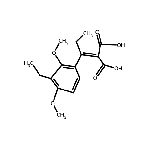 CCC(=C(C(=O)O)C(=O)O)c1ccc(OC)c(CC)c1OC